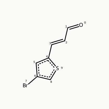 O=[C]/C=C/c1cc(Br)cs1